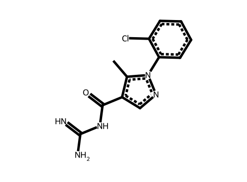 Cc1c(C(=O)NC(=N)N)cnn1-c1ccccc1Cl